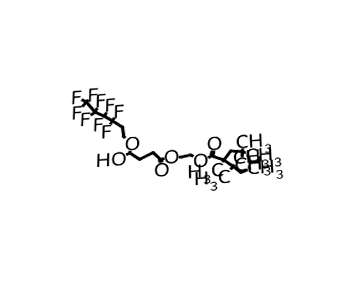 CCC(C)(C)C(C)(CC(C)(C)C)C(=O)OCCOC(=O)CCC(O)OCCC(F)(F)C(F)(F)C(F)(F)C(F)(F)F